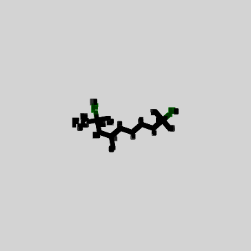 CC(CCCCC(C)(C)F)CC(C)(F)C(F)(F)F